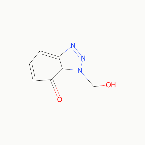 O=C1C=CC=C2N=NN(CO)C12